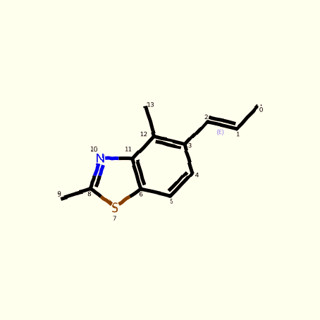 [CH2]/C=C/c1ccc2sc(C)nc2c1C